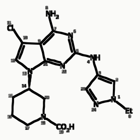 CCn1cc(Nc2nc(N)c3c(Cl)cn([C@@H]4CCCN(C(=O)O)C4)c3n2)cn1